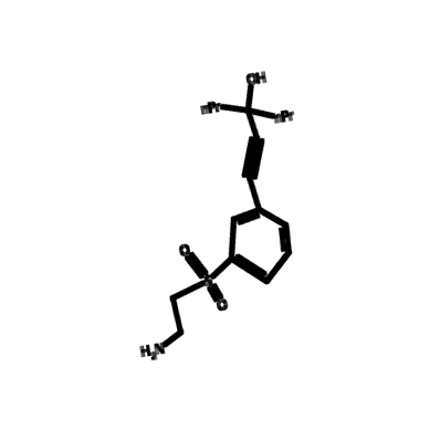 CCCC(O)(C#Cc1cccc(S(=O)(=O)CCN)c1)CCC